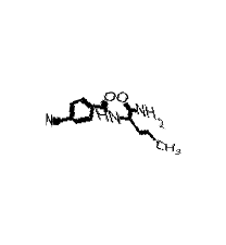 CCCC(NC(=O)c1ccc(C#N)cc1)C(N)=O